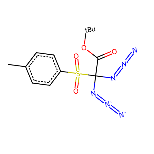 Cc1ccc(S(=O)(=O)C(N=[N+]=[N-])(N=[N+]=[N-])C(=O)OC(C)(C)C)cc1